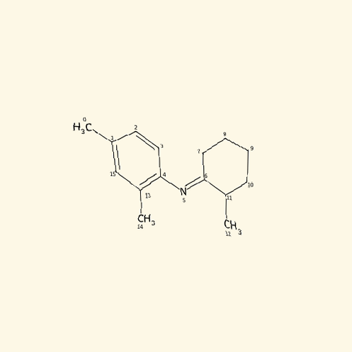 Cc1ccc(/N=C2\CCCCC2C)c(C)c1